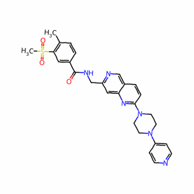 Cc1ccc(C(=O)NCc2cc3nc(N4CCN(c5ccncc5)CC4)ccc3cn2)cc1S(C)(=O)=O